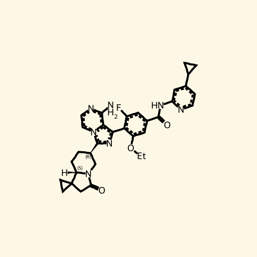 CCOc1cc(C(=O)Nc2cc(C3CC3)ccn2)cc(F)c1-c1nc([C@@H]2CC[C@@H]3N(C2)C(=O)CC32CC2)n2ccnc(N)c12